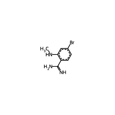 CNc1cc(Br)ccc1C(=N)N